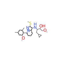 COCC(O)C(CC1CC1)Nc1c(SC)nn2c(-c3c(C)cc(C)cc3OC)cccc12